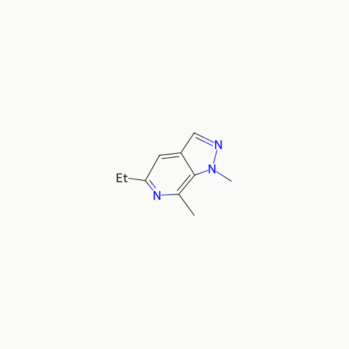 CCc1cc2cnn(C)c2c(C)n1